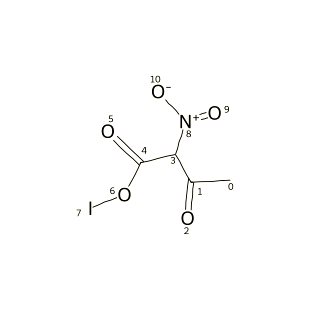 CC(=O)C(C(=O)OI)[N+](=O)[O-]